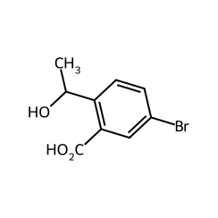 CC(O)c1ccc(Br)cc1C(=O)O